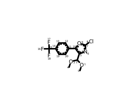 COC(OC)c1nc(Cl)oc1-c1ccc(C(F)(F)F)cc1